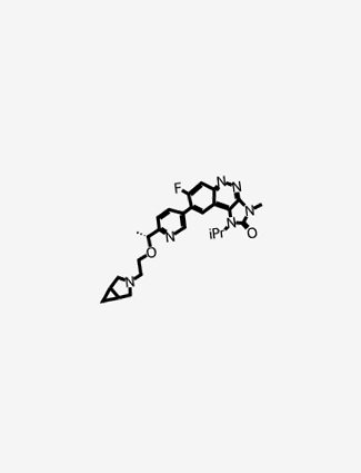 CC(C)n1c(=O)n(C)c2nnc3cc(F)c(-c4ccc([C@@H](C)OCCN5CC6CC6C5)nc4)cc3c21